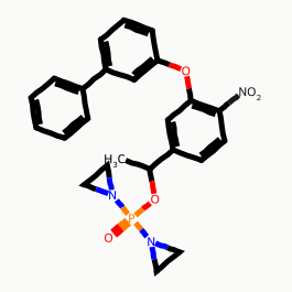 CC(OP(=O)(N1CC1)N1CC1)c1ccc([N+](=O)[O-])c(Oc2cccc(-c3ccccc3)c2)c1